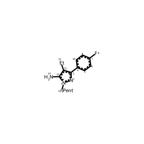 CCCCCn1nc(-c2ccc(F)cc2)c(CC)c1N